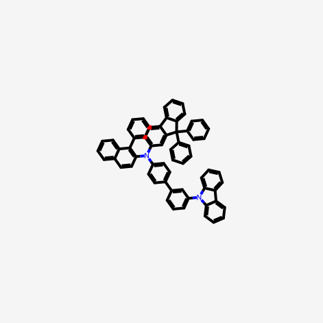 c1ccc(-c2c(N(c3ccc(-c4cccc(-n5c6ccccc6c6ccccc65)c4)cc3)c3ccc4c(c3)C(c3ccccc3)(c3ccccc3)c3ccccc3-4)ccc3ccccc23)cc1